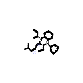 C=CCN(c1ccccc1)c1ccccc1N(C(=C)C=C)/C(C)=C/C=C\C(C)C